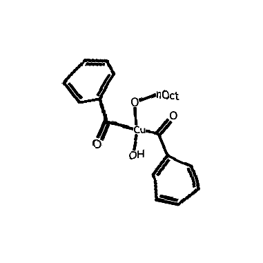 CCCCCCCC[O][Cu]([OH])([C](=O)c1ccccc1)[C](=O)c1ccccc1